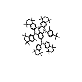 Cc1cc(C(C)(C)C)ccc1N1c2cc3c(cc2B2c4cc5c(cc4N(c4cc6c(cc4C)C(C)(C)CC6(C)C)c4cc(N(c6ccc7c(c6)C(C)(C)CCC7(C)C)c6ccc7c(c6)C(C)(C)CCC7(C)C)cc1c42)C(C)(C)CCC5(C)C)C(C)(C)CCC3(C)C